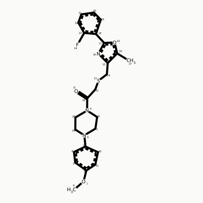 COc1ccc(N2CCN(C(=O)CSCc3nc(-c4ccccc4F)oc3C)CC2)cc1